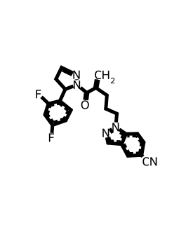 C=C(CCCn1ncc2cc(C#N)ccc21)C(=O)N1N=CCC1c1ccc(F)cc1F